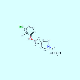 Cc1c(Br)cccc1OC1CC2(CCN(CC(=O)O)CC2)C1